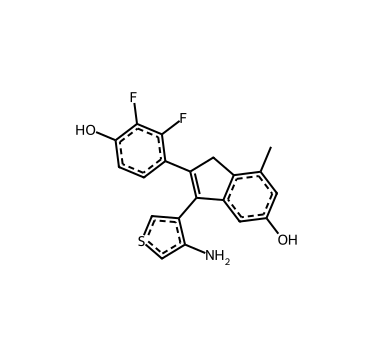 Cc1cc(O)cc2c1CC(c1ccc(O)c(F)c1F)=C2c1cscc1N